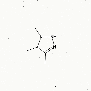 CC1=NNN(C)C1C